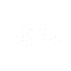 c1cncc(-c2ccc(-c3nc4ccccc4c4c3ccc3ccc5cccnc5c34)c3ccccc23)c1